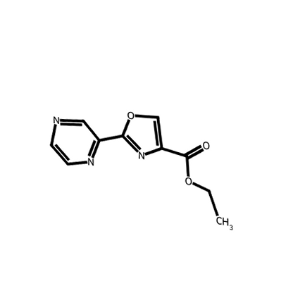 CCOC(=O)c1coc(-c2cnccn2)n1